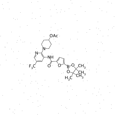 CC(=O)OC1CCN(c2ncc(C(F)(F)F)cc2NC(=O)c2ccc(B3OC(C)(C)C(C)(C)O3)o2)CC1